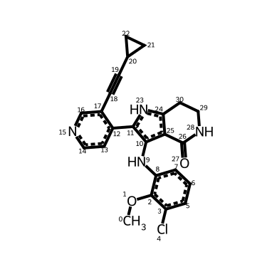 COc1c(Cl)cccc1Nc1c(-c2ccncc2C#CC2CC2)[nH]c2c1C(=O)NCC2